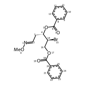 CON=CC[C@H](OC(=O)c1ccccc1)[C@@H](Br)COC(=O)c1ccccc1